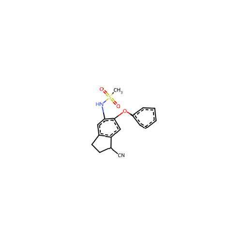 CS(=O)(=O)Nc1cc2c(cc1Oc1ccccc1)C(C#N)CC2